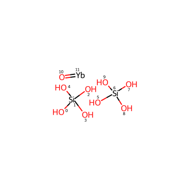 O[Si](O)(O)O.O[Si](O)(O)O.[O]=[Yb]